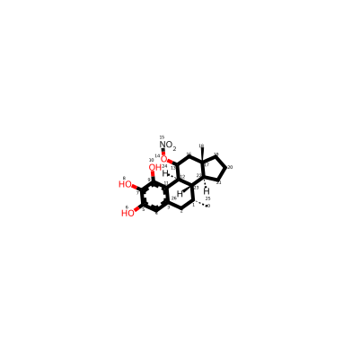 C[C@@H]1Cc2cc(O)c(O)c(O)c2[C@H]2C(O[N+](=O)[O-])C[C@]3(C)CCC[C@H]3[C@H]12